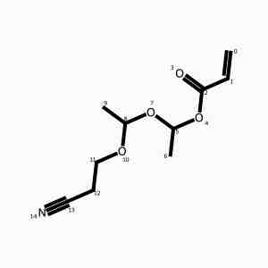 C=CC(=O)OC(C)OC(C)OCCC#N